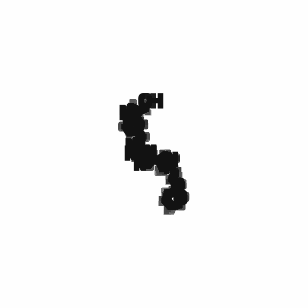 OCc1cnn2ccc(Cn3nnc4ncc(-c5cnn(CCOC6CCCCO6)c5)nc43)cc12